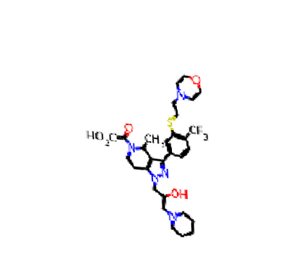 CC1c2c(-c3ccc(C(F)(F)F)c(SCCN4CCOCC4)c3)nn(CC(O)CN3CCCCC3)c2CCN1C(=O)C(=O)O